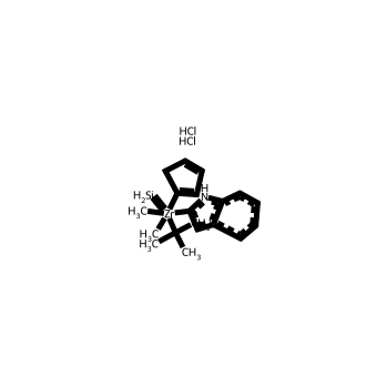 C[C](C)(C)[Zr]([CH3])([CH3])(=[SiH2])([C]1=CC=CC1)[c]1cc2ccccc2[nH]1.Cl.Cl